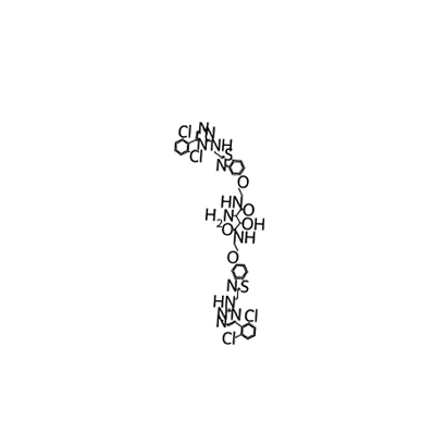 NC(C(=O)NCCOc1ccc2sc(CNc3nncc(-c4c(Cl)cccc4Cl)n3)nc2c1)C(O)C(=O)NCCOc1ccc2sc(CNc3nncc(-c4c(Cl)cccc4Cl)n3)nc2c1